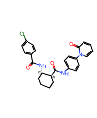 O=C(N[C@H]1CCCC[C@@H]1C(=O)Nc1ccc(-n2ccccc2=O)cc1)c1ccc(Cl)cc1